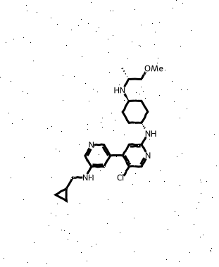 COC[C@@H](C)N[C@H]1CC[C@H](Nc2cc(-c3cncc(NCC4CC4)c3)c(Cl)cn2)CC1